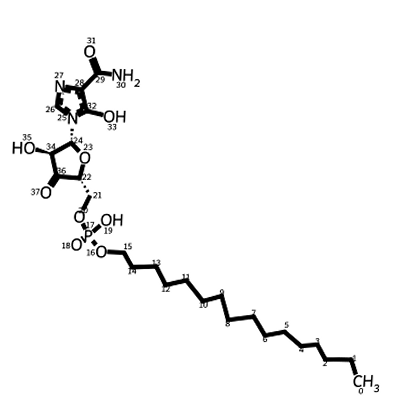 CCCCCCCCCCCCCCCCOP(=O)(O)OC[C@H]1O[C@@H](n2cnc(C(N)=O)c2O)[C@H](O)C1=O